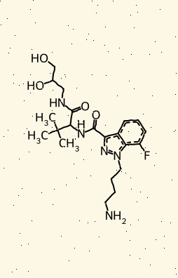 CC(C)(C)C(NC(=O)c1nn(CCCCN)c2c(F)cccc12)C(=O)NCC(O)CO